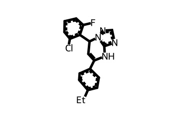 CCc1ccc(C2=CC(c3c(F)cccc3Cl)n3ncnc3N2)cc1